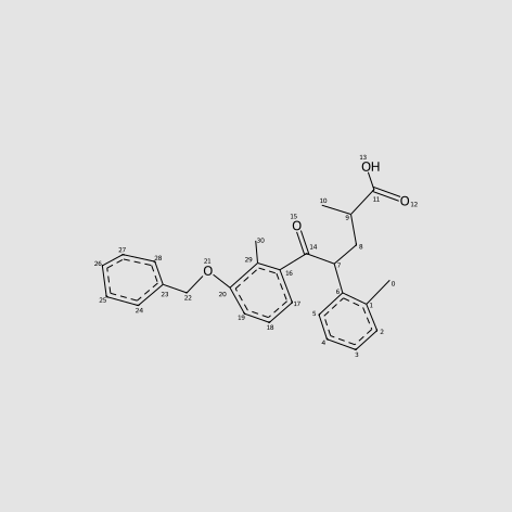 Cc1ccccc1C(CC(C)C(=O)O)C(=O)c1cccc(OCc2ccccc2)c1C